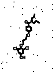 CCCN(CCC)C(=O)c1ccc(OCCCCOc2c(Cl)cc(O)cc2Cl)cc1